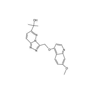 COc1ccc2c(OCc3nnc4ccc(C(C)(C)O)nn34)ccnc2c1